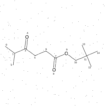 CC(C)C(=O)CCC(=O)OCC(C)(C)C